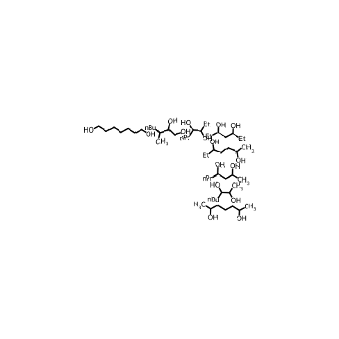 CC(O)CCCC(C)O.CCC(O)CC(O)CC.CCC(O)CCC(C)O.CCCC(O)C(O)CC.CCCC(O)CC(C)O.CCCCC(C)C(O)CO.CCCCC(O)C(C)O.OCCCCCCCO